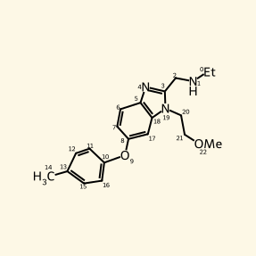 CCNCc1nc2ccc(Oc3ccc(C)cc3)cc2n1CCOC